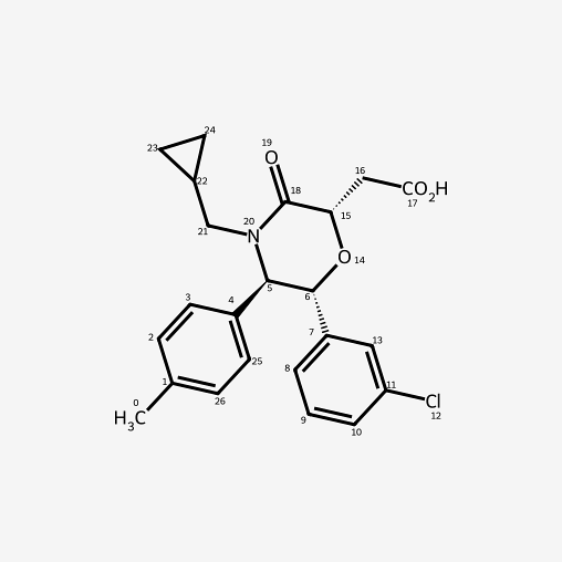 Cc1ccc([C@@H]2[C@@H](c3cccc(Cl)c3)O[C@@H](CC(=O)O)C(=O)N2CC2CC2)cc1